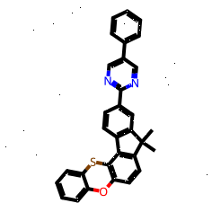 CC1(C)c2cc(-c3ncc(-c4ccccc4)cn3)ccc2-c2c1ccc1c2Sc2ccccc2O1